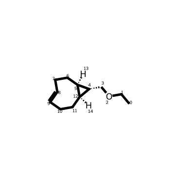 CCOC[C@H]1[C@@H]2CC/C=C/CC[C@@H]21